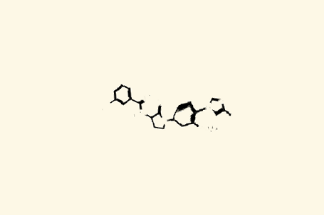 COc1cc(N2CCC(NC(=O)c3cccc(C(F)(F)F)c3)C2=O)ccc1-n1cnc(C)c1